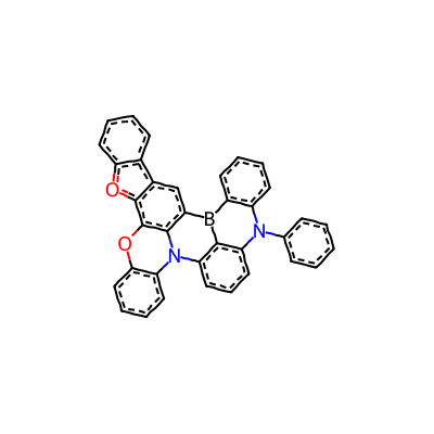 c1ccc(N2c3ccccc3B3c4cc5c(oc6ccccc65)c5c4N(c4ccccc4O5)c4cccc2c43)cc1